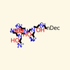 CCCCCCCCCCCC[N+](C)(C)CC(O)CN(CCN(CCN(CC(O)C[N+](C)(C)C)CC(O)C[N+](C)(C)C)CC(O)C[N+](C)(C)C)CC(O)C[N+](C)(C)C